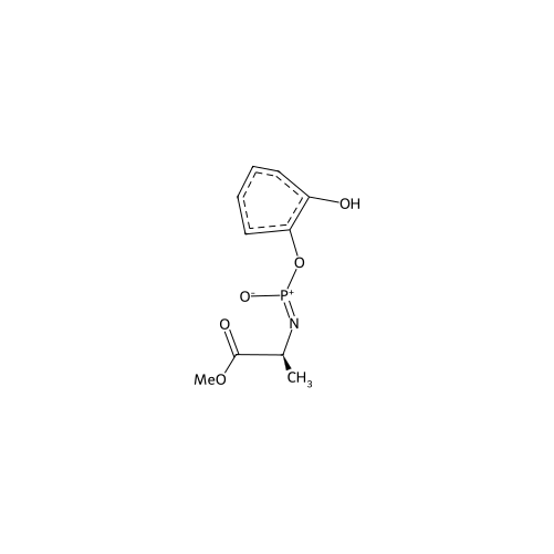 COC(=O)[C@H](C)N=[P+]([O-])Oc1ccccc1O